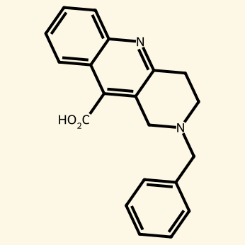 O=C(O)c1c2c(nc3ccccc13)CCN(Cc1ccccc1)C2